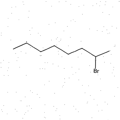 C[CH]CCCCC(C)Br